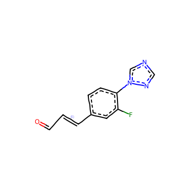 O=C/C=C/c1ccc(-n2cncn2)c(F)c1